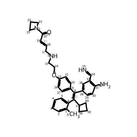 Cc1ccccc1/C(=C(\c1ccc(OCCNC/C=C/C(=O)N2CCC2)cc1)c1ccc(N)c(C=N)c1)C1CCC1